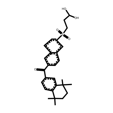 CC1(C)CCC(C)(C)c2cc(C(=O)c3ccc4cc(S(=O)(=O)CCC(O)O)ccc4c3)ccc21